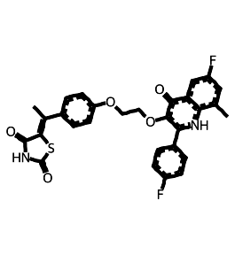 CC(=C1SC(=O)NC1=O)c1ccc(OCCOc2c(-c3ccc(F)cc3)[nH]c3c(C)cc(F)cc3c2=O)cc1